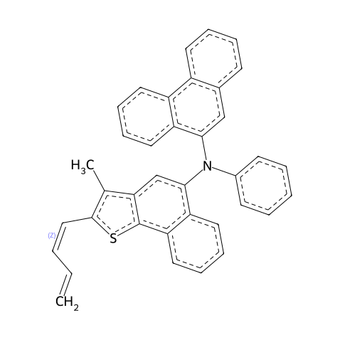 C=C/C=C\c1sc2c(cc(N(c3ccccc3)c3cc4ccccc4c4ccccc34)c3ccccc32)c1C